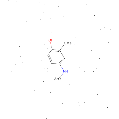 COc1cc(NOC(C)=O)ccc1O